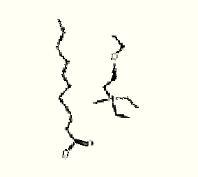 CCCCCCCCCC(=O)[O-].CCOCC[N+](C)(CC)CC